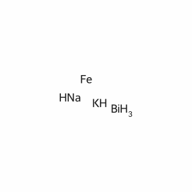 [BiH3].[Fe].[KH].[NaH]